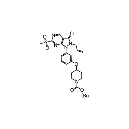 C=CCn1c(=O)c2cnc(S(C)(=O)=O)nc2n1-c1cccc(OC2CCN(C(=O)OC(C)(C)C)CC2)c1